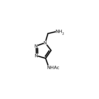 CC(=O)Nc1cn(CN)nn1